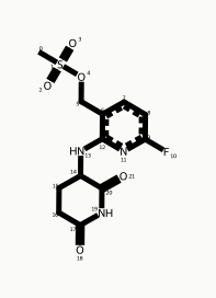 CS(=O)(=O)OCc1ccc(F)nc1NC1CCC(=O)NC1=O